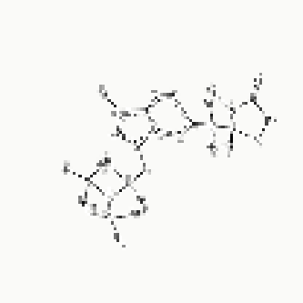 [2H]N1C(=O)OC[C@]1([2H])C([2H])([2H])c1ccc2c(c1)c(CC([2H])([2H])N(C([2H])([2H])[2H])C([2H])([2H])[2H])cn2[2H]